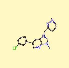 CN1CN(Cc2cccnn2)c2cc(-c3cccc(Cl)c3)cnc21